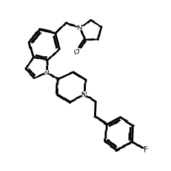 O=C1CCCN1Cc1ccc2ccn(C3CCN(CCc4ccc(F)cc4)CC3)c2c1